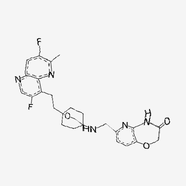 Cc1nc2c(CCC34CCC(NCc5ccc6c(n5)NC(=O)CO6)(CC3)CO4)c(F)cnc2cc1F